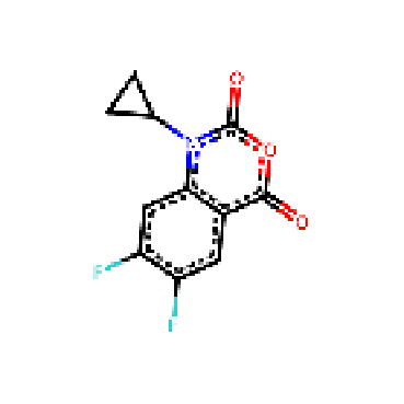 O=c1oc(=O)n(C2CC2)c2cc(F)c(F)cc12